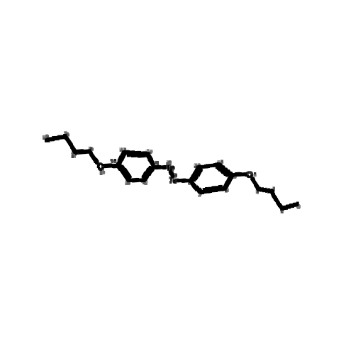 CCCCOc1ccc([Te][Te]c2ccc(OCCCC)cc2)cc1